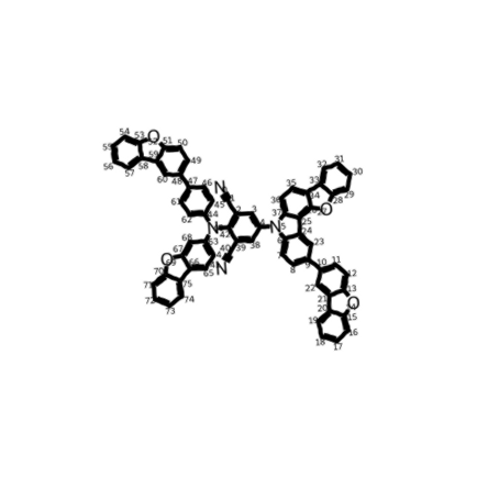 N#Cc1cc(-n2c3ccc(-c4ccc5oc6ccccc6c5c4)cc3c3c4oc5ccccc5c4ccc32)cc(C#N)c1N(c1ccc(-c2ccc3oc4ccccc4c3c2)cc1)c1ccc2c(c1)oc1ccccc12